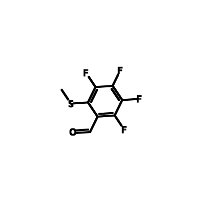 CSc1c(F)c(F)c(F)c(F)c1C=O